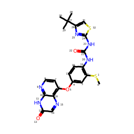 CSc1cc(Oc2ccnc3[nH]c(=O)cnc23)ccc1NC(=O)Nc1nc(C(C)(C)C)cs1